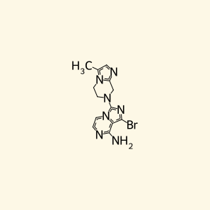 Cc1cnc2n1CCN(c1nc(Br)c3c(N)nccn13)C2